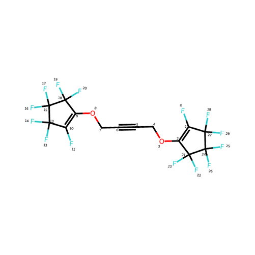 FC1=C(OCC#CCOC2=C(F)C(F)(F)C(F)(F)C2(F)F)C(F)(F)C(F)(F)C1(F)F